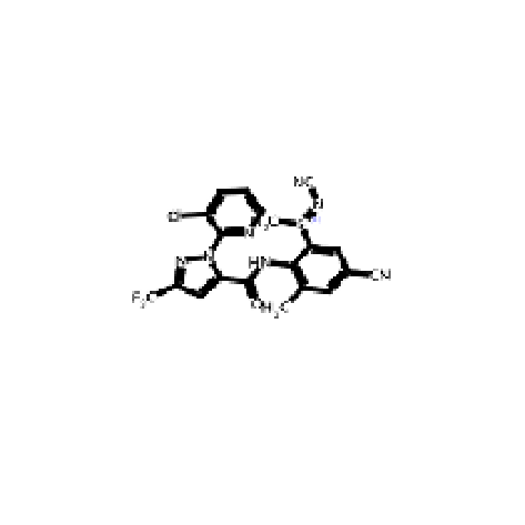 Cc1cc(C#N)cc(/S(C)=N/C#N)c1NC(=O)c1cc(C(F)(F)F)nn1-c1ncccc1Cl